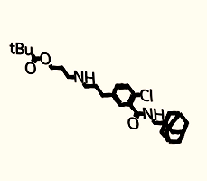 CC(C)(C)C(=O)OCCCNCCCc1ccc(Cl)c(C(=O)NCC23CC4CC(CC(C4)C2)C3)c1